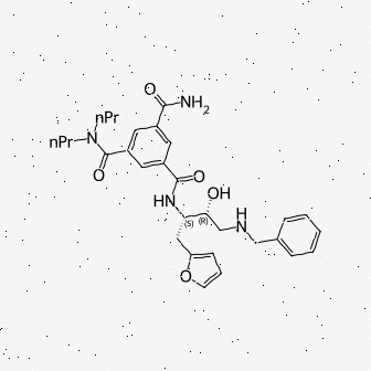 CCCN(CCC)C(=O)c1cc(C(N)=O)cc(C(=O)N[C@@H](Cc2ccco2)[C@H](O)CNCc2ccccc2)c1